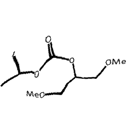 COCC(COC)OC(=O)OC(C)I